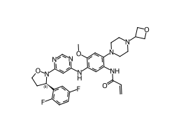 C=CC(=O)Nc1cc(Nc2cc(N3OCC[C@@H]3c3cc(F)ccc3F)ncn2)c(OC)cc1N1CCN(C2COC2)CC1